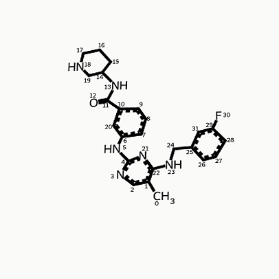 Cc1cnc(Nc2cccc(C(=O)NC3CCCNC3)c2)nc1NCc1cccc(F)c1